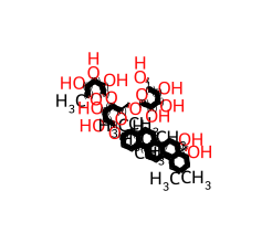 C[C@@H]1O[C@@H](O[C@H]2[C@H](O)[C@@H](O)[C@H](O[C@H]3CC[C@]4(C)[C@H]5C=CC6=C7CC(C)(C)CC[C@]7(CO)[C@@H](O)C[C@@]6(C)[C@]5(C)CC[C@H]4C3(C)C)O[C@@H]2CO[C@@H]2O[C@H](CO)[C@@H](O)[C@H](O)[C@H]2O)[C@H](O)[C@H](O)[C@H]1O